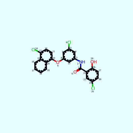 O=C(Nc1cc(Cl)cc(Oc2ccc(Cl)c3ccccc23)c1)c1cc(Cl)ccc1O